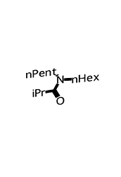 CCCCCCN(CCCCC)C(=O)C(C)C